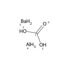 O=C(O)O.[AlH3].[BaH2]